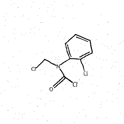 O=C(Cl)N(CCl)c1ccccc1Cl